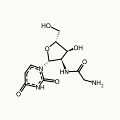 NCC(=O)N[C@@H]1[C@H](O)[C@@H](CO)O[C@H]1n1ccc(=O)[nH]c1=O